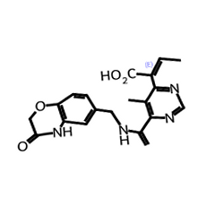 C=C(NCc1ccc2c(c1)NC(=O)CO2)c1ncnc(/C(=C\C)C(=O)O)c1C